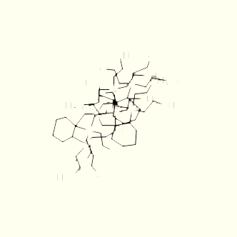 CCC[Si](CCC)(CCC)C1CCCCC1([CH2][Cr]([CH2]C1([Si](CCC)(CCC)CCC)CCCCC1[Si](CCC)(CCC)CCC)[CH2]C1([Si](CCC)(CCC)CCC)CCCCC1[Si](CCC)(CCC)CCC)[Si](CCC)(CCC)CCC